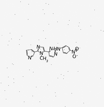 Cn1c(-c2ccnc(Nc3ccc([N+](=O)[O-])cc3)n2)cnc1-c1cccnc1